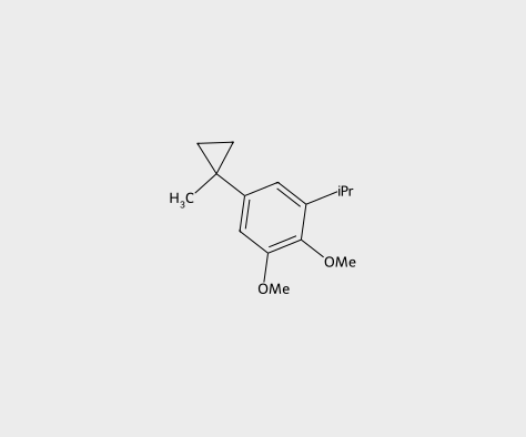 COc1cc(C2(C)CC2)cc(C(C)C)c1OC